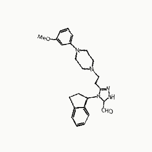 COc1cccc(N2CCN(CCC3=NNC(C=O)N3C3CCc4ccccc43)CC2)c1